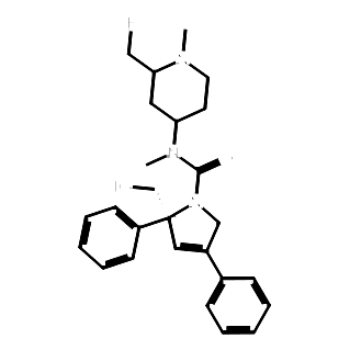 CN1CCC(N(C)C(=O)N2CC(c3ccccc3)=C[C@@]2(CO)c2ccccc2)CC1CF